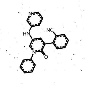 N#Cc1ccccc1-c1cc(Nc2cccnc2)cn(-c2ccccc2)c1=O